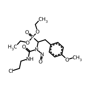 CCOP(=O)(OCC)C(Cc1ccc(OC)cc1)N(N=O)C(=O)NCCCl